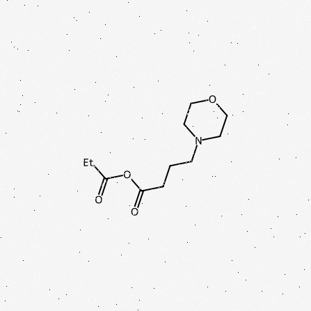 CCC(=O)OC(=O)CCCN1CCOCC1